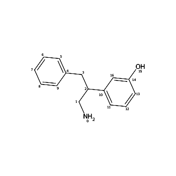 NCC(Cc1ccccc1)c1cccc(O)c1